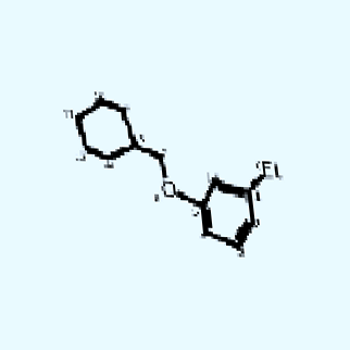 CCc1cccc(OCC2CCCCC2)c1